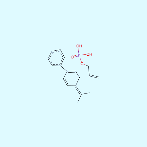 C=CCOP(=O)(O)O.CC(C)=C1C=CC(c2ccccc2)=CC1